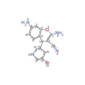 N#CC1=C(N)Oc2cc(N)ccc2C1c1cncc(Br)c1